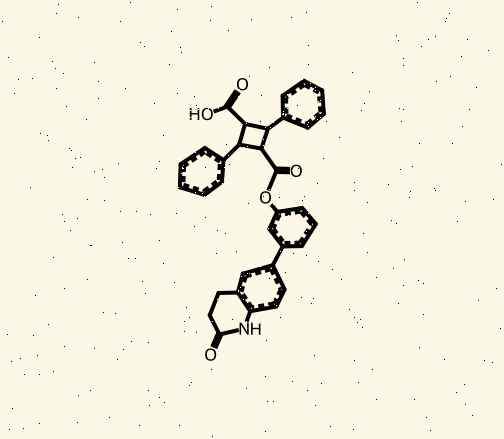 O=C1CCc2cc(-c3cccc(OC(=O)C4C(c5ccccc5)C(C(=O)O)C4c4ccccc4)c3)ccc2N1